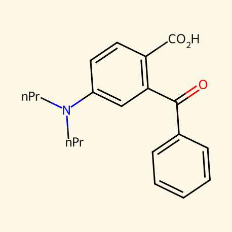 CCCN(CCC)c1ccc(C(=O)O)c(C(=O)c2ccccc2)c1